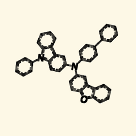 c1ccc(-c2ccc(N(c3ccc4oc5ccccc5c4c3)c3ccc4c(c3)c3ccccc3n4-c3ccccc3)cc2)cc1